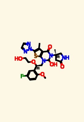 COc1ccc(F)cc1[C@H](CN1c2sc(-n3nccn3)c(C)c2C(=O)N([C@@]2(C)CNC(=O)C2)C1O)OCCO